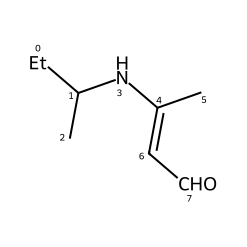 CCC(C)NC(C)=CC=O